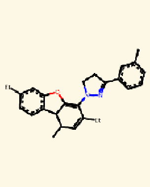 CCC1=CC(C)C2C(=C1N1CCC(c3cccc(C)c3)=N1)Oc1cc(CC)ccc12